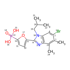 Cc1c(Br)cc2c(nc(-c3ccc(P(=O)(O)O)o3)n2CC(C)C)c1C